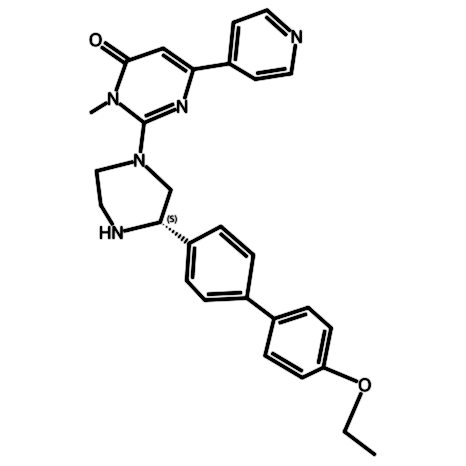 CCOc1ccc(-c2ccc([C@H]3CN(c4nc(-c5ccncc5)cc(=O)n4C)CCN3)cc2)cc1